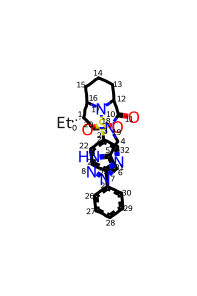 CC[C@H]1CN(Cc2cnn[nH]2)C(=O)C2CCCC1N2S(=O)(=O)c1ccc(-c2ccccc2)nc1